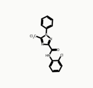 O=C(Nc1ccccc1Cl)c1nc(C(Cl)(Cl)Cl)n(-c2ccccc2)n1